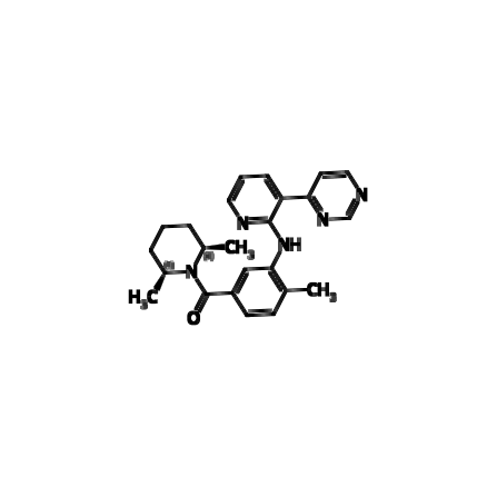 Cc1ccc(C(=O)N2[C@H](C)CCC[C@@H]2C)cc1Nc1ncccc1-c1ccncn1